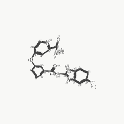 CNC(=O)c1cc(Oc2cccc(C(=O)Nc3nc4cc(C(F)(F)F)ccc4[nH]3)c2)ccn1